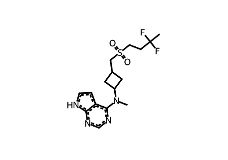 CN(c1ncnc2[nH]ccc12)C1CC(CS(=O)(=O)CCC(C)(F)F)C1